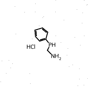 Cl.NCPc1ccccc1